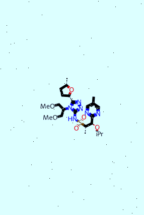 COCC(COC)n1c(NS(=O)(=O)[C@@H](C)[C@@H](OC(C)C)c2ncc(C)cn2)nnc1[C@@H]1CC[C@H](C)O1